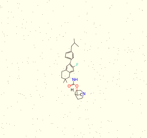 CC(C)Cc1ccc(-c2cc3c(cc2F)[C@H](NC(=O)O[C@H]2CN4CCC2CC4)C(C)(C)CC3)cc1